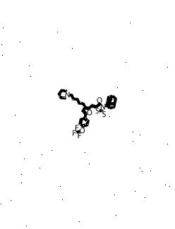 O=C1/C(=C/c2oc(-c3ccc(OC(F)(F)F)cc3)cc2CCCCCN2CCCCC2)SC(=S)N1C1C2CC3CC(C2)CC1C3